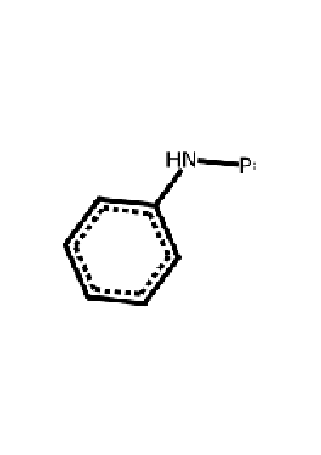 [P]Nc1ccccc1